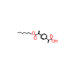 C=C(C(=O)O)c1ccc(C(=C)C(=O)OCCCCCCC)cc1